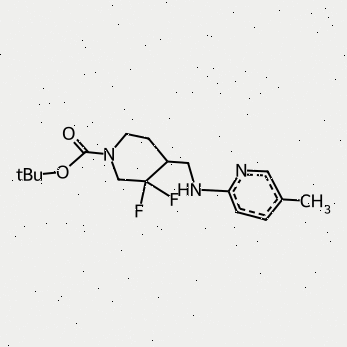 Cc1ccc(NCC2CCN(C(=O)OC(C)(C)C)CC2(F)F)nc1